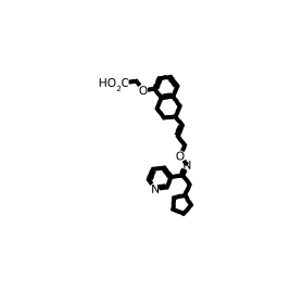 O=C(O)COc1cccc2c1CCC(C=CCON=C(CC1CCCC1)c1cccnc1)C2